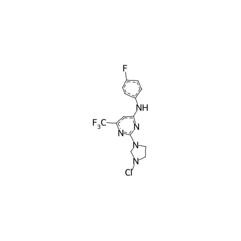 Fc1ccc(Nc2cc(C(F)(F)F)nc(N3CCN(Cl)C3)n2)cc1